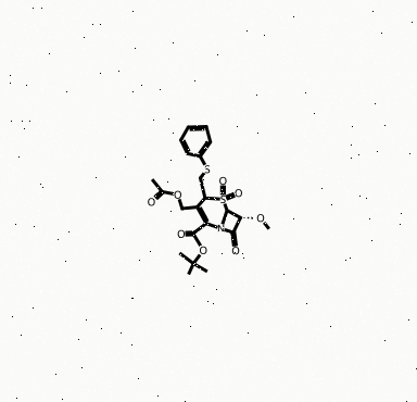 CO[C@@H]1C(=O)N2C(C(=O)OC(C)(C)C)=C(COC(C)=O)C(CSc3ccccc3)S(=O)(=O)C12